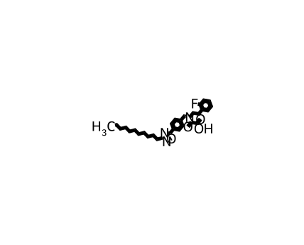 CCCCCCCCCCCc1noc(-c2ccc(CN(CCc3ccccc3F)C(=O)C(=O)O)cc2)n1